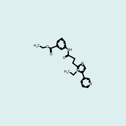 CCOC(=O)c1cccc(NC(=O)CCc2ncc(-c3cccnc3)n2CC)c1